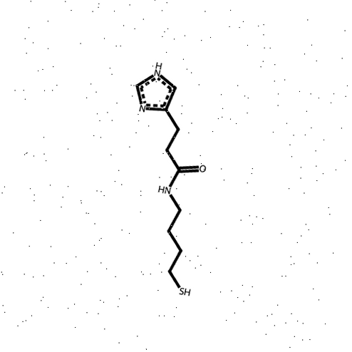 O=C(CCc1c[nH]cn1)NCCCCS